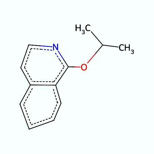 CC(C)Oc1nccc2ccccc12